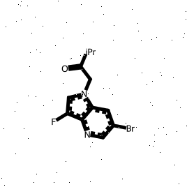 CC(C)C(=O)Cn1cc(F)c2ncc(Br)cc21